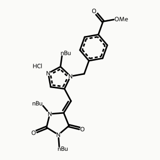 CCCCc1ncc(C=C2C(=O)N(CCCC)C(=O)N2CCCC)n1Cc1ccc(C(=O)OC)cc1.Cl